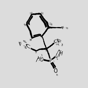 O=P(O)(O)C(CC(F)(F)F)(c1ccccc1F)C(F)(F)F